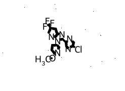 COc1ccc(-n2c(-c3cnc(Cl)cn3)nc3cc(C(F)(F)F)cnc32)cn1